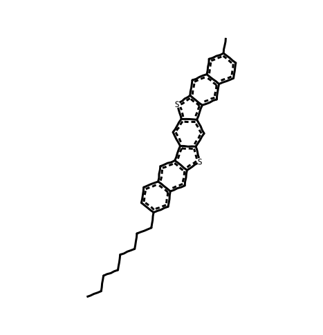 CCCCCCCCc1ccc2cc3c(cc2c1)sc1cc2c(cc13)sc1cc3cc(C)ccc3cc12